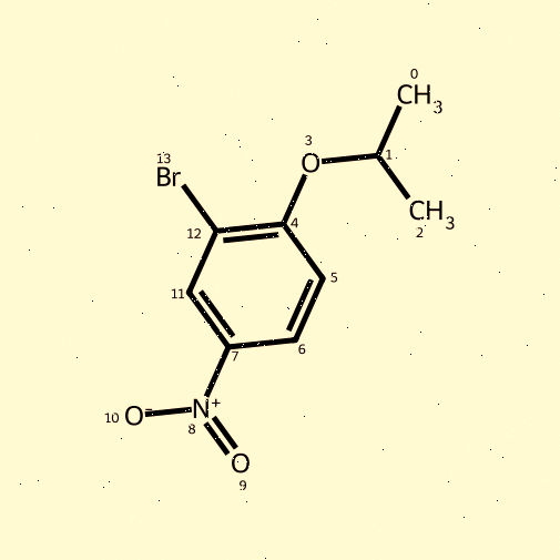 CC(C)Oc1ccc([N+](=O)[O-])cc1Br